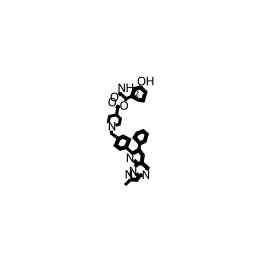 Cc1cc2ncc3cc(-c4ccccc4)c(-c4ccc(CN5CCC(C(=O)OC(C(N)=O)c6cccc(O)c6)CC5)cc4)nc3n2n1